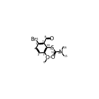 COc1ccc(Br)c(C=O)c1SC(=O)N(C)C